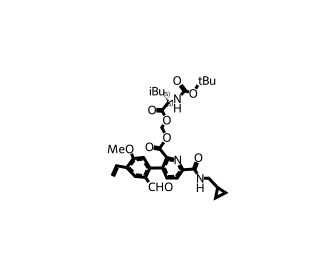 C=Cc1cc(C=O)c(-c2ccc(C(=O)NCC3CC3)nc2C(=O)OCOC(=O)[C@@H](NC(=O)OC(C)(C)C)[C@@H](C)CC)cc1OC